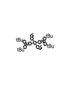 CC(C)(C)c1ccc2c(c1)c1cc(C(C)(C)C)ccc1n2-c1ccc(-c2cc(-c3ccc4ccsc4c3)c(-c3ccc(-n4c5ccc(C(C)(C)C)cc5c5cc(C(C)(C)C)ccc54)cc3)cc2-c2ccc3ccsc3c2)cc1